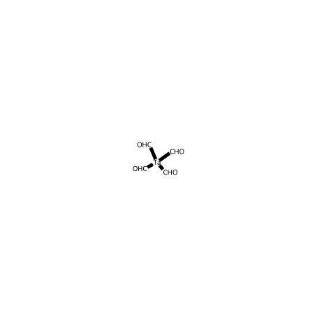 O=[CH][Ta]([CH]=O)([CH]=O)[CH]=O